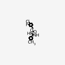 Cc1ccc(C(=N)NC(=O)OCc2ccc(Cl)c(F)c2)cc1